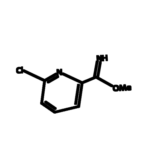 COC(=N)c1cccc(Cl)n1